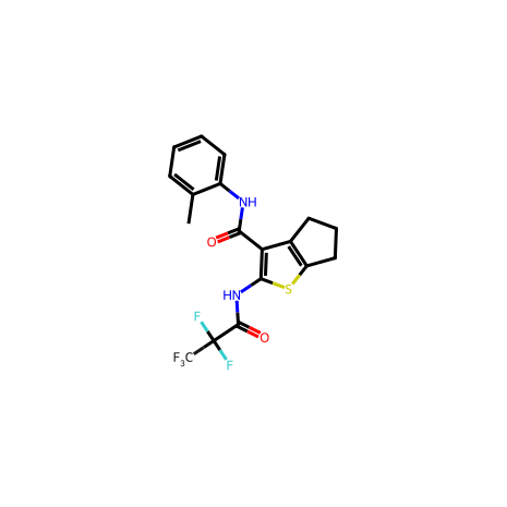 Cc1ccccc1NC(=O)c1c(NC(=O)C(F)(F)C(F)(F)F)sc2c1CCC2